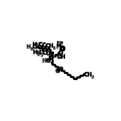 CCCCCC/C=C\CCCCCCCCOC(=O)CCC/C=C\C[C@@H]1[C@@H](/C=C/[C@@H](O)COc2cccc(C(F)(F)F)c2)[C@H](OC(=O)CC(CC)C(CC)C(CC)C(CC)C(CC)CCCC)C[C@@H]1O